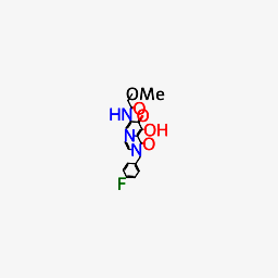 COCC(=O)Nc1cn2ccn(Cc3ccc(F)cc3)c(=O)c2c(O)c1=O